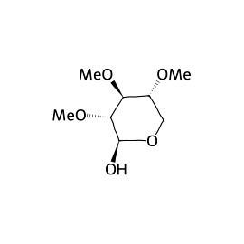 CO[C@@H]1[C@@H](OC)[C@H](OC)CO[C@H]1O